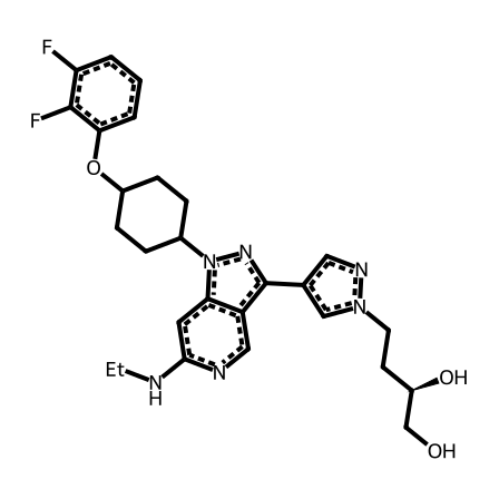 CCNc1cc2c(cn1)c(-c1cnn(CC[C@@H](O)CO)c1)nn2C1CCC(Oc2cccc(F)c2F)CC1